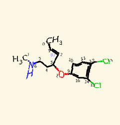 C/C=C/C(CCNC)Oc1ccc(Cl)c(Cl)c1